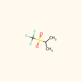 CC(C)S(=O)(=O)C(F)(F)F